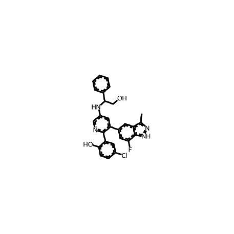 Cc1n[nH]c2c(F)cc(-c3cc(NC(CO)c4ccccc4)cnc3-c3cc(Cl)ccc3O)cc12